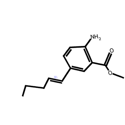 CCC/C=C/c1ccc(N)c(C(=O)OC)c1